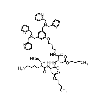 C#CN[C@@H](CCCCN)C(=O)N[C@@H](CC(=O)OCCCC)C(=O)N[C@@H](CC(=O)OCCCC)C(=O)NCCCCOc1cc(CN(Cc2ccccn2)Cc2ccccn2)cc(CN(Cc2ccccn2)Cc2ccccn2)c1